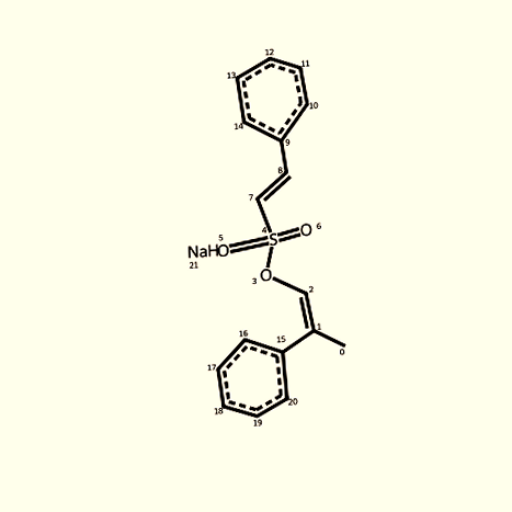 CC(=COS(=O)(=O)C=Cc1ccccc1)c1ccccc1.[NaH]